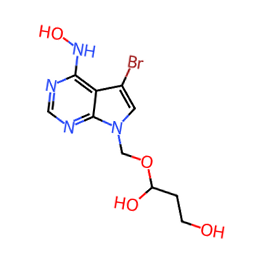 OCCC(O)OCn1cc(Br)c2c(NO)ncnc21